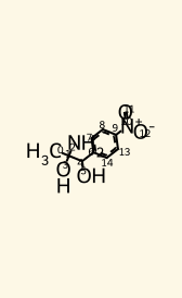 CC(N)(O)C(O)c1ccc([N+](=O)[O-])cc1